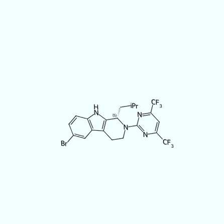 CC(C)C[C@H]1c2[nH]c3ccc(Br)cc3c2CCN1c1nc(C(F)(F)F)cc(C(F)(F)F)n1